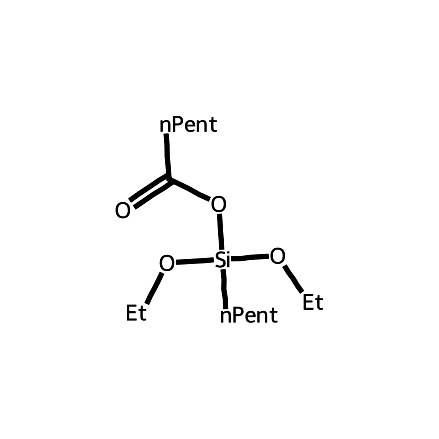 CCCCCC(=O)O[Si](CCCCC)(OCC)OCC